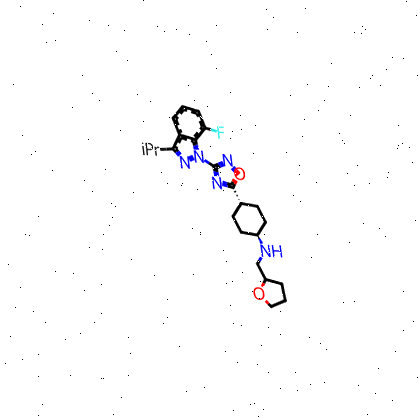 CC(C)c1nn(-c2noc([C@H]3CC[C@H](NCC4CCCO4)CC3)n2)c2c(F)cccc12